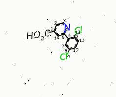 O=C(O)c1ccnc(-c2cc(Cl)ccc2Cl)c1